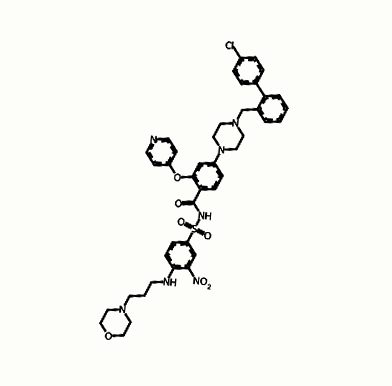 O=C(NS(=O)(=O)c1ccc(NCCCN2CCOCC2)c([N+](=O)[O-])c1)c1ccc(N2CCN(Cc3ccccc3-c3ccc(Cl)cc3)CC2)cc1Oc1ccncc1